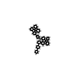 c1ccc(-c2ccc(-c3ccc(N(c4ccc(-c5ccc6c(c5)C5(c7ccccc7-c7ccccc75)c5ccccc5-6)cc4)c4cccc5c4-c4ccccc4C54c5ccccc5-c5ccccc54)cc3)cc2)cc1